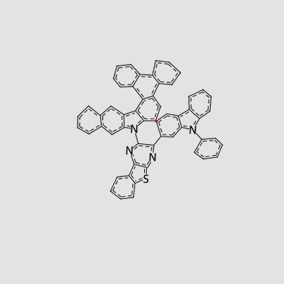 c1ccc(-n2c3ccccc3c3ccc(-c4nc5sc6ccccc6c5nc4-n4c5cc6ccccc6cc5c5c6c7ccccc7c7ccccc7c6ccc54)cc32)cc1